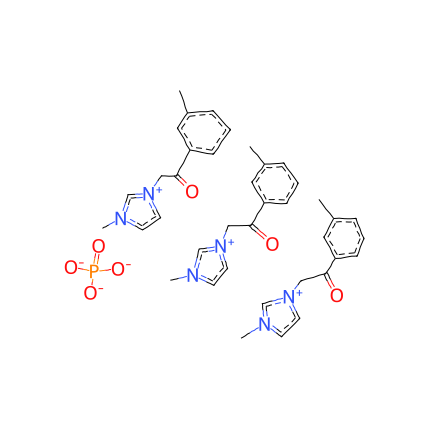 Cc1cccc(C(=O)C[n+]2ccn(C)c2)c1.Cc1cccc(C(=O)C[n+]2ccn(C)c2)c1.Cc1cccc(C(=O)C[n+]2ccn(C)c2)c1.O=P([O-])([O-])[O-]